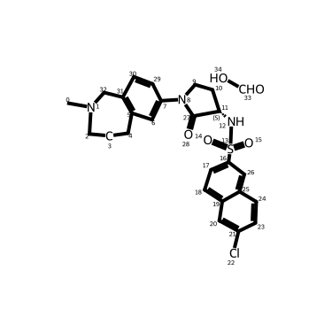 CN1CCCc2cc(N3CC[C@H](NS(=O)(=O)c4ccc5cc(Cl)ccc5c4)C3=O)ccc2C1.O=CO